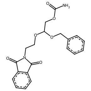 NC(=O)OCC(OCCN1C(=O)c2ccccc2C1=O)OCc1ccccc1